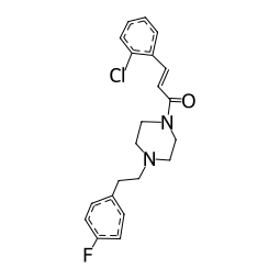 O=C(C=Cc1ccccc1Cl)N1CCN(CCc2ccc(F)cc2)CC1